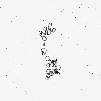 O=C1CCN(c2cncc3cc(C#CC4CCN(C[C@H]5CC[C@H](NC(=O)[C@@H]6NC7(CCCCC7)[C@@]7(C(=O)Nc8cc(Cl)ccc87)[C@H]6c6cccc(Cl)c6F)CC5)CC4)ccc23)C(=O)N1